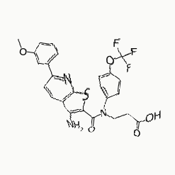 COc1cccc(-c2ccc3c(N)c(C(=O)N(CCC(=O)O)c4ccc(OC(F)(F)F)cc4)sc3n2)c1